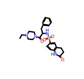 CCN1CCN(C(=O)C(Cc2ccccc2)NS(=O)(=O)c2ccc3c(c2)CCC(=O)N3)CC1